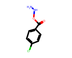 NNOC(=O)c1ccc(Cl)cc1